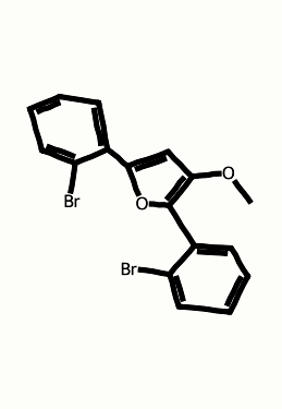 COc1cc(-c2ccccc2Br)oc1-c1ccccc1Br